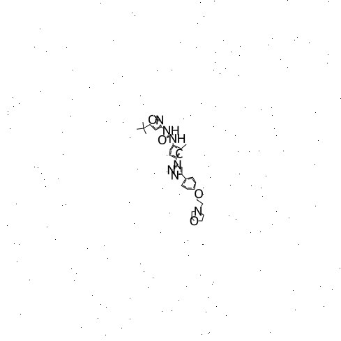 Cc1cc(-n2cc(-c3ccc(OCCN4CCOCC4)cc3)nn2)ccc1NC(=O)Nc1cc(C(C)(C)C)on1